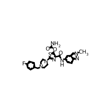 Cn1cc2cc(NC(=O)c3nc(N4CCN(Cc5ccc(F)cc5)CC4)sc3OC(N)=O)ccc2n1